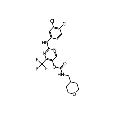 O=C(NCC1CCOCC1)Oc1cnc(Nc2ccc(Cl)c(Cl)c2)nc1C(F)(F)F